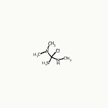 CNC([SiH3])(Cl)N(C)C